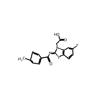 Cc1ccc(C(=O)/N=c2\sc3ccc(F)cc3n2CC(=O)O)cc1